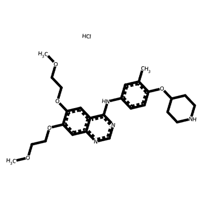 COCCOc1cc2ncnc(Nc3ccc(OC4CCNCC4)c(C)c3)c2cc1OCCOC.Cl